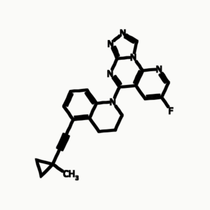 CC1(C#Cc2cccc3c2CCCN3c2nc3nncn3c3ncc(F)cc23)CC1